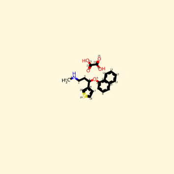 CNCCC(Oc1cccc2ccccc12)c1ccsc1.O=C(O)C(=O)O